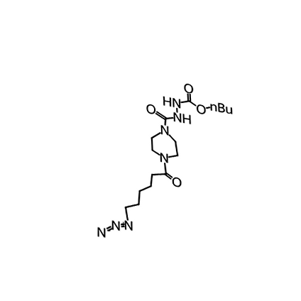 CCCCOC(=O)NNC(=O)N1CCN(C(=O)CCCCCN=[N+]=[N-])CC1